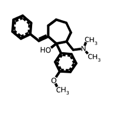 COc1cccc(C2(O)C(=Cc3ccccc3)CCCCC2CN(C)C)c1